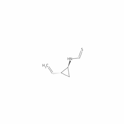 C=C[C@H]1C[C@@H]1NC=S